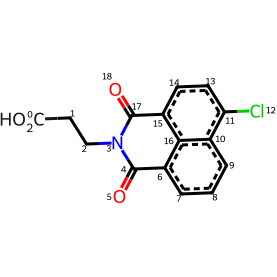 O=C(O)CCN1C(=O)c2cccc3c(Cl)ccc(c23)C1=O